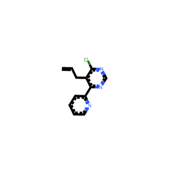 C=CCc1c(Cl)ncnc1-c1ccccn1